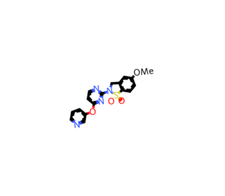 COc1ccc2c(c1)CN(c1nccc(Oc3cccnc3)n1)S2(=O)=O